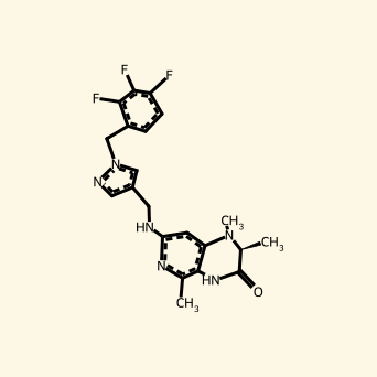 Cc1nc(NCc2cnn(Cc3ccc(F)c(F)c3F)c2)cc2c1NC(=O)[C@H](C)N2C